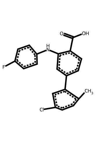 Cc1ccc(Cl)cc1-c1ccc(C(=O)O)c(Nc2ccc(F)cc2)c1